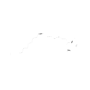 CCCCCCCC/C=C\CCCCCCC(OC(C)=O)C(=O)O